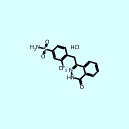 Cl.NS(=O)(=O)c1ccc(Cc2n[nH]c(=O)c3ccccc23)c(C(F)(F)F)c1